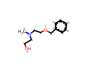 CN(CCO)CCOCc1ccccc1